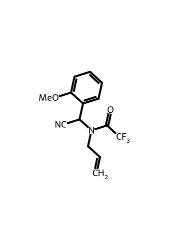 C=CCN(C(=O)C(F)(F)F)C(C#N)c1ccccc1OC